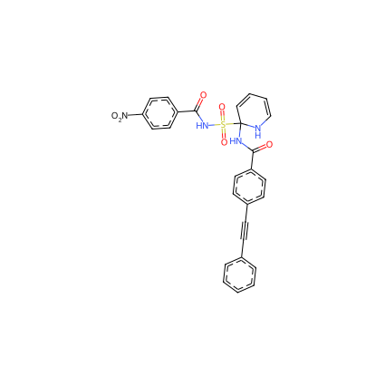 O=C(NC1(S(=O)(=O)NC(=O)c2ccc([N+](=O)[O-])cc2)C=CC=CN1)c1ccc(C#Cc2ccccc2)cc1